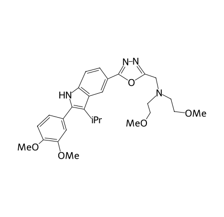 COCCN(CCOC)Cc1nnc(-c2ccc3[nH]c(-c4ccc(OC)c(OC)c4)c(C(C)C)c3c2)o1